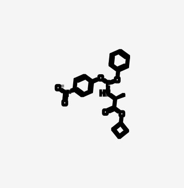 C[C@H](NP(Oc1ccccc1)Oc1ccc([N+](=O)[O-])cc1)C(=O)OC1CCC1